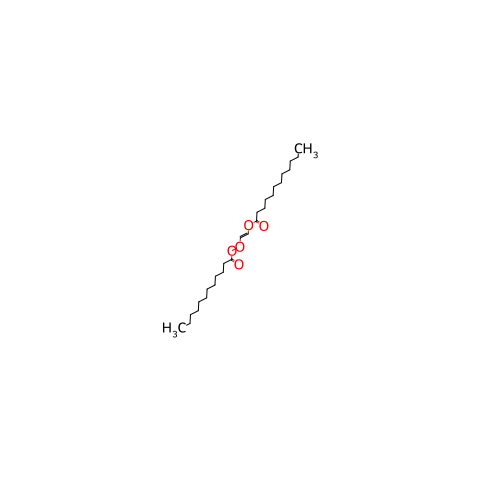 CCCCCCCCCCCC(=O)OC=COOC(=O)CCCCCCCCCCC